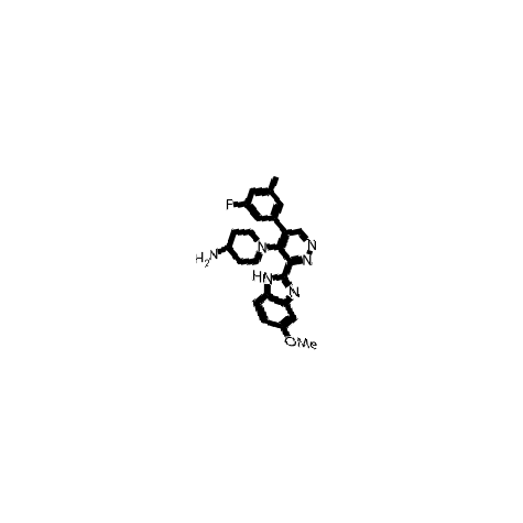 COc1ccc2[nH]c(-c3nncc(-c4cc(C)cc(F)c4)c3N3CCC(N)CC3)nc2c1